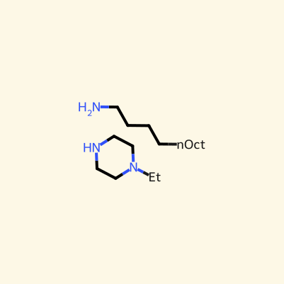 CCCCCCCCCCCCN.CCN1CCNCC1